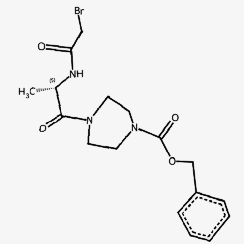 C[C@H](NC(=O)CBr)C(=O)N1CCN(C(=O)OCc2ccccc2)CC1